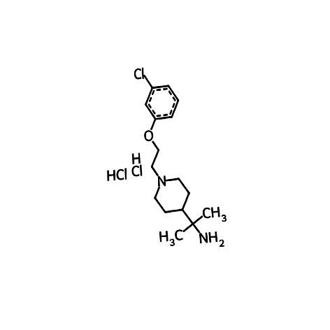 CC(C)(N)C1CCN(CCOc2cccc(Cl)c2)CC1.Cl.Cl